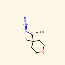 CC1([C@H](N=[N+]=[N-])C(=O)O)CCOCC1